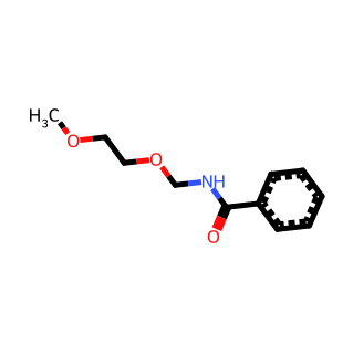 COCCOCNC(=O)c1ccccc1